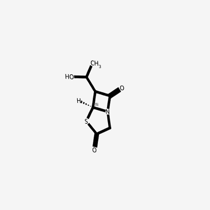 CC(O)C1C(=O)N2CC(=O)S[C@@H]12